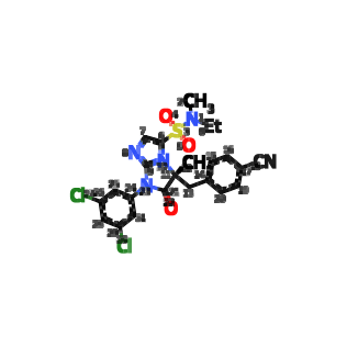 CCN(C)S(=O)(=O)c1cnc2n1[C@](C)(Cc1ccc(C#N)cc1)C(=O)N2c1cc(Cl)cc(Cl)c1